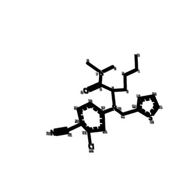 CCCCC(C(=O)N(C)C)N(Cc1cccs1)c1ccc(C#N)c(Cl)c1